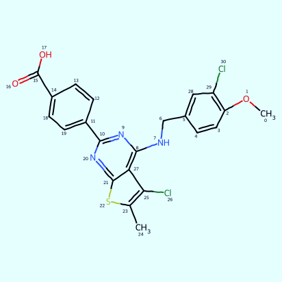 COc1ccc(CNc2nc(-c3ccc(C(=O)O)cc3)nc3sc(C)c(Cl)c23)cc1Cl